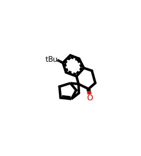 CC(C)(C)c1ccc2c(c1)C1(CC3=CCC1C3)C(=O)CC2